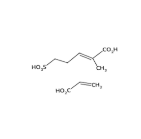 C/C(=C\CCS(=O)(=O)O)C(=O)O.C=CC(=O)O